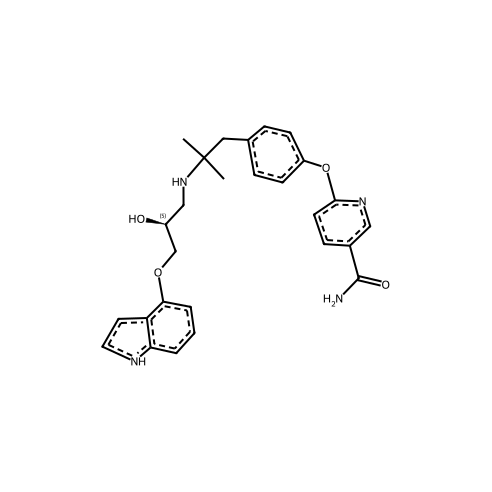 CC(C)(Cc1ccc(Oc2ccc(C(N)=O)cn2)cc1)NC[C@H](O)COc1cccc2[nH]ccc12